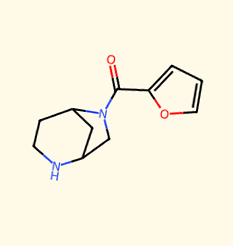 O=C(c1ccco1)N1CC2CC1CCN2